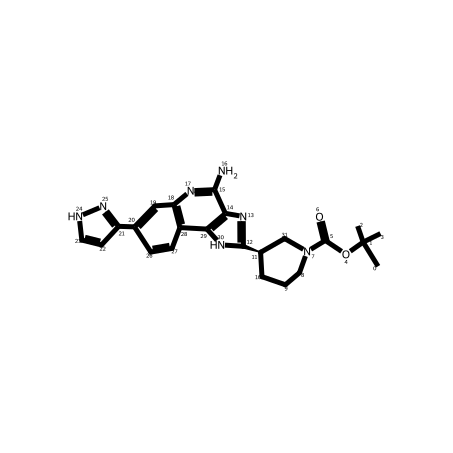 CC(C)(C)OC(=O)N1CCC[C@@H](c2nc3c(N)nc4cc(-c5cc[nH]n5)ccc4c3[nH]2)C1